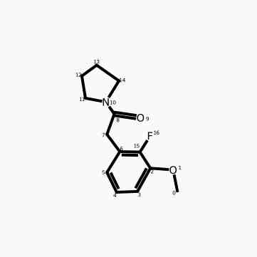 COc1cccc(CC(=O)N2CCCC2)c1F